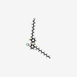 CCCCCCCCCCCCc1cccc([I+]c2cccc(CCCCCCCCCCCC)c2F)c1F.[Cl-]